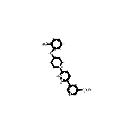 CCOC(=O)c1cncc(-c2ccc(N3CCC(Oc4ccccc4C(C)CC)CC3)nn2)c1